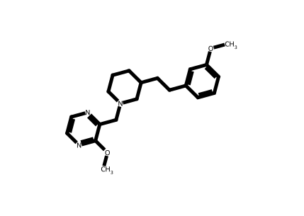 COc1cccc(CCC2CCCN(Cc3nccnc3OC)C2)c1